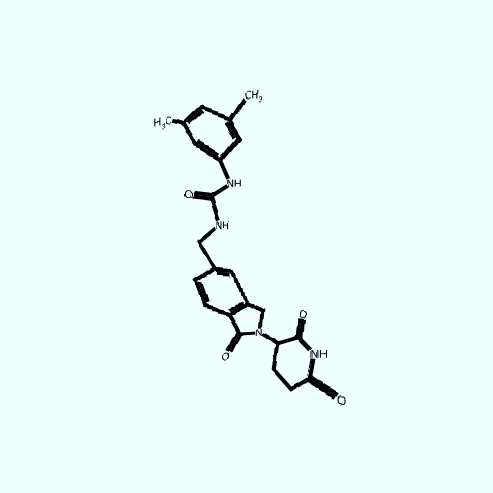 Cc1cc(C)cc(NC(=O)NCc2ccc3c(c2)CN(C2CCC(=O)NC2=O)C3=O)c1